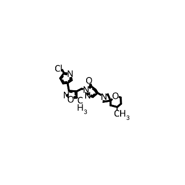 Cc1onc(-c2ccc(Cl)nc2)c1Cn1ncc(N2CC3(C[C@H](C)CCO3)C2)cc1=O